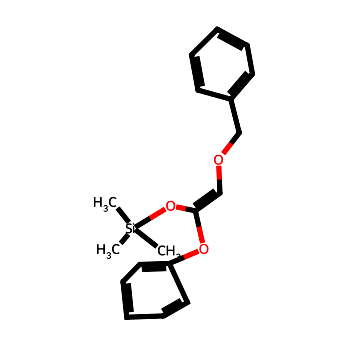 C[Si](C)(C)OC(=COCc1ccccc1)Oc1ccccc1